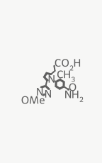 COc1ncc(-c2ccc(CCC(=O)O)n2-c2ccc(C(N)=O)cc2C)cn1